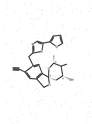 C#Cc1cc2c(cc1Cc1ncc(-c3ccco3)s1)[C@]1(C[C@@H](O)C(C)[C@@H](C)O1)OC2